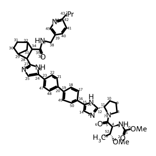 COC(=O)N[C@H](C(=O)N1CCC[C@H]1c1ncc(-c2ccc(-c3ccc(-c4cnc(C5C6CCC(C6)C5C(=O)NCc5ccc(C(C)C)nc5)[nH]4)cc3)cc2)[nH]1)[C@@H](C)OC